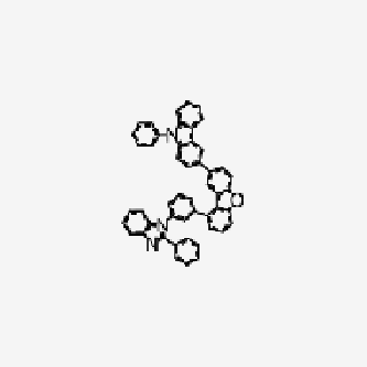 c1ccc(-c2nc3ccccc3n2-c2cccc(-c3cccc4oc5ccc(-c6ccc7c(c6)c6ccccc6n7-c6ccccc6)cc5c34)c2)cc1